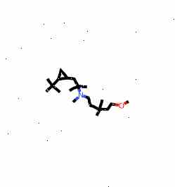 COCCC(C)(C)CCN(C)C(C)(C)CC1CC1C(C)(C)C